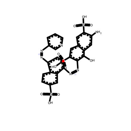 Nc1cc2c(O)c(/N=N\c3ccc(/N=N\c4cccnc4)c4ccc(S(=O)(=O)O)cc34)c(S(=O)(=O)O)cc2cc1S(=O)(=O)O